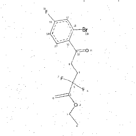 C=C(OCC)C(F)(F)CCC(=O)c1ccc(F)cc1Br